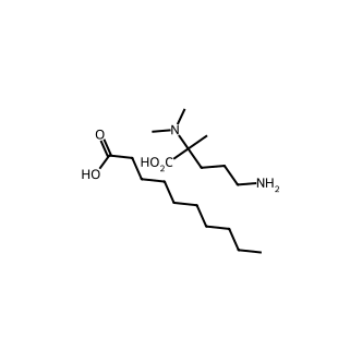 CCCCCCCCCC(=O)O.CN(C)C(C)(CCCN)C(=O)O